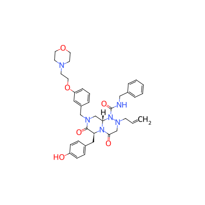 C=CCN1CC(=O)N2[C@@H](Cc3ccc(O)cc3)C(=O)N(Cc3cccc(OCCN4CCOCC4)c3)C[C@@H]2N1C(=O)NCc1ccccc1